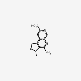 C[C@H]1OCc2c1c(N)nc1cnc(C(=O)O)cc21